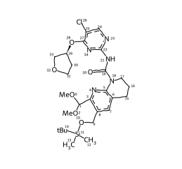 COC(OC)c1nc2c(cc1CO[Si](C)(C)C(C)(C)C)CCCN2C(=O)Nc1ncc(Cl)c(O[C@H]2CCOC2)n1